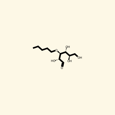 CCCCCO[C@@H]([C@H](O)[C@H](O)CO)[C@@H](O)C=O